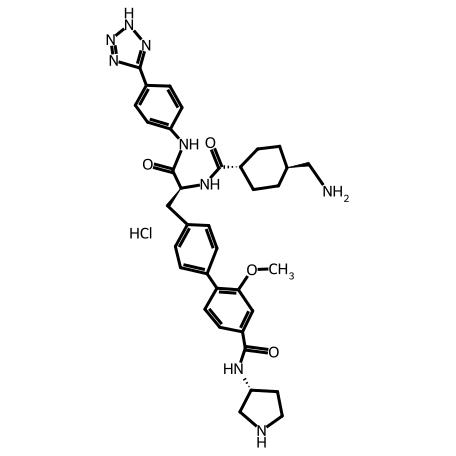 COc1cc(C(=O)N[C@@H]2CCNC2)ccc1-c1ccc(C[C@H](NC(=O)[C@H]2CC[C@H](CN)CC2)C(=O)Nc2ccc(-c3nn[nH]n3)cc2)cc1.Cl